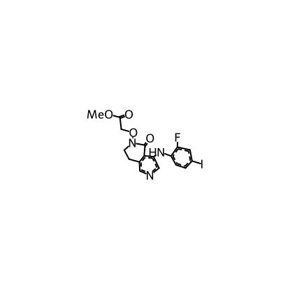 COC(=O)CON1CCc2cncc(Nc3ccc(I)cc3F)c2C1=O